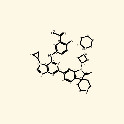 Cc1ccc(Nc2nc(-c3ccc4c(c3)N([C@H]3C[C@@H](N5CCCCC5)C3)C(=O)C43CCOCC3)cc3ncn(C4CC4)c23)cc1C(N)=O